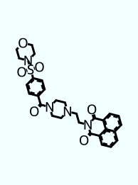 O=C(c1ccc(S(=O)(=O)N2CCOCC2)cc1)N1CCN(CCN2C(=O)c3cccc4cccc(c34)C2=O)CC1